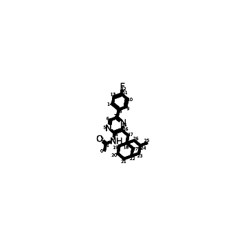 CC(=O)Nc1ncc(-c2ccc(F)cc2)nc1CC12CCCC(CC(C)C1)C2